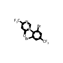 O=c1cc(C(F)(F)F)ncn1-c1c(Br)cc(C(F)(F)F)cc1Br